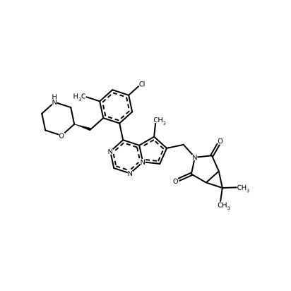 Cc1cc(Cl)cc(-c2ncnn3cc(CN4C(=O)C5C(C4=O)C5(C)C)c(C)c23)c1C[C@@H]1CNCCO1